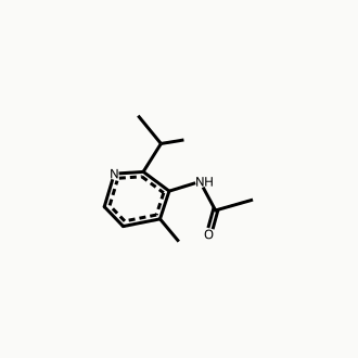 CC(=O)Nc1c(C)ccnc1C(C)C